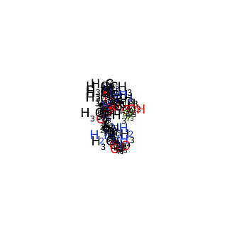 CC[C@H](C)[C@@H]([C@@H](CC(=O)N1CCC[C@H]1[C@H](OC)[C@@H](C)C(=O)N(C)CCc1cccc(C(N)[C@H](C)C(N)[C@H](C)NC(=O)CN2C(=O)C=CC2=O)c1)OC)N(C)C(=O)[C@@H](C(C)C)C(N)[C@H](C(C)C)N(C)C.O=C(O)C(F)(F)F